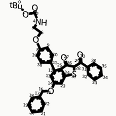 CC(C)(C)OC(=O)NCCOc1ccc(-c2cc(OCc3ccccc3)cc3c2C(=O)C(C(=O)c2ccccc2)S3)cc1